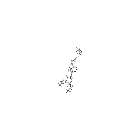 C=C1/C(=C\C=C2/CCC[C@]3(C)[C@@H]([C@H](C)OCCC(C)(C)O[Si](C)(C)C)CC[C@@H]23)C[C@@H](O[Si](C)(C)C(C)(C)C)C[C@@H]1O[Si](C)(C)C(C)(C)C